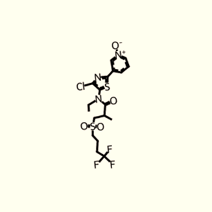 CCN(C(=O)C(C)CS(=O)(=O)CCCC(F)(F)F)c1sc(-c2ccc[n+]([O-])c2)nc1Cl